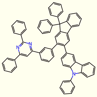 c1ccc(-c2cc(-c3cccc(-c4cc5c(cc4-c4ccc6c(c4)c4ccccc4n6-c4ccccc4)-c4ccccc4C5(c4ccccc4)c4ccccc4)c3)nc(-c3ccccc3)n2)cc1